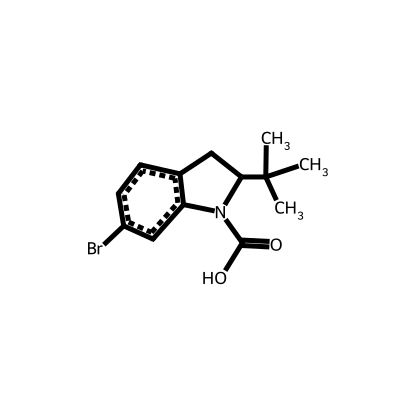 CC(C)(C)C1Cc2ccc(Br)cc2N1C(=O)O